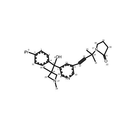 CC(C)c1ccc(C(O)(c2cncc(C#CC(C)(C)N3CCCC3=O)c2)C2(C)CN(C)C2)cc1